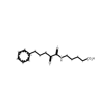 O=C(O)CCCCNC(=O)C(=O)CCCc1ccccc1